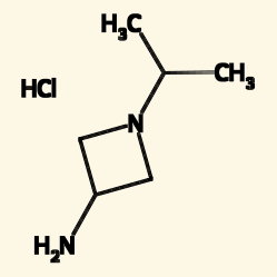 CC(C)N1CC(N)C1.Cl